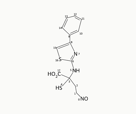 O=NCCC(S)(Nc1nc(-c2ccccc2)cs1)C(=O)O